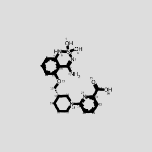 NC1=NS(O)(O)Nc2cccc(OC[C@H]3CCCN(c4cccc(C(=O)O)n4)C3)c21